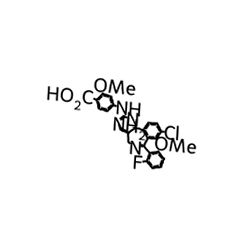 C=C(/N=C1\C(=C/N)CN=C(c2c(F)cccc2OC)c2cc(Cl)ccc21)Nc1ccc(C(=O)O)c(OC)c1